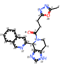 Cc1nnc(CCC(=O)N2CCc3[nH]cnc3[C@H]2c2cc3ccccc3cn2)o1